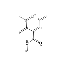 C=C/C=C(\C(=C)C(C)=O)C(=O)OC